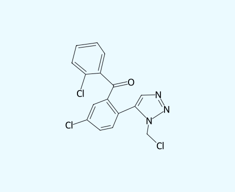 O=C(c1ccccc1Cl)c1cc(Cl)ccc1-c1cnnn1CCl